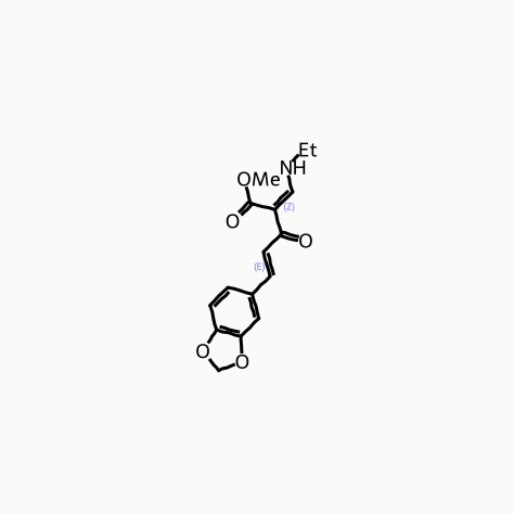 CCN/C=C(/C(=O)/C=C/c1ccc2c(c1)OCO2)C(=O)OC